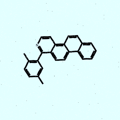 Cc1ccc(C)c(-c2nccc3c2ccc2c4ccccc4ccc32)c1